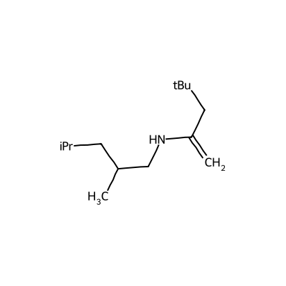 C=C(CC(C)(C)C)NCC(C)CC(C)C